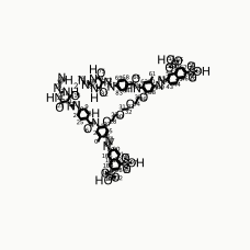 Cc1cc(NC(=O)c2ccc(/N=N/C3C(=O)NC(=NC#N)NC3=O)cc2)c(OCCOCCOCCOc2cc(/N=N/c3ccc4cc(S(=O)(=O)O)cc(S(=O)(=O)O)c4c3)c(C)cc2NC(=O)c2ccc(/N=N/C3C(=O)NC(=NN)NC3=O)cc2)cc1/N=N/c1ccc2c(S(=O)(=O)O)cc(S(=O)(=O)O)cc2c1